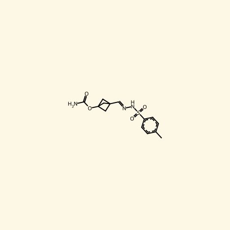 Cc1ccc(S(=O)(=O)N/N=C/C23CC(OC(N)=O)(C2)C3)cc1